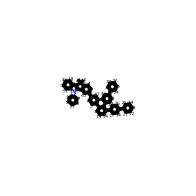 CC1(C)c2ccc(-c3ccc(-c4cc[c]c(-c5ccc(-c6ccccc6)cc5)c4-c4ccc(-c5ccccc5)cc4)cc3)cc2-c2c1c1ccccc1n2-c1ccccc1